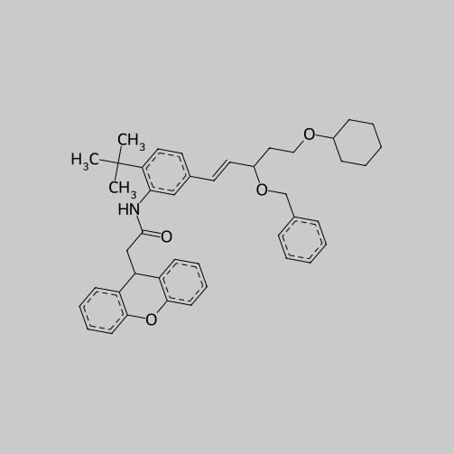 CC(C)(C)c1ccc(/C=C/C(CCOC2CCCCC2)OCc2ccccc2)cc1NC(=O)CC1c2ccccc2Oc2ccccc21